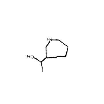 OC(I)C1CCCCNC1